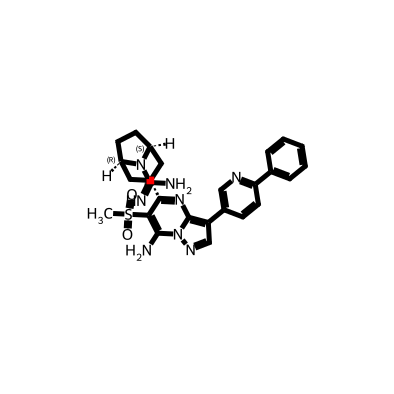 CS(=O)(=O)c1c([C@@H]2C[C@H]3CC[C@@H](C2)N3C(=N)N)nc2c(-c3ccc(-c4ccccc4)nc3)cnn2c1N